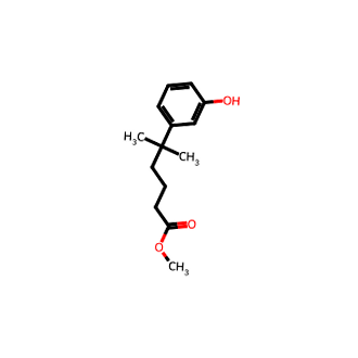 COC(=O)CCCC(C)(C)c1cccc(O)c1